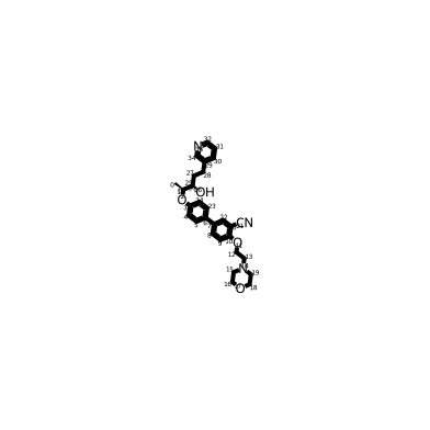 C[C@H](Oc1ccc(-c2ccc(OCCN3CCOCC3)c(C#N)c2)cc1)[C@H](O)CCc1cccnc1